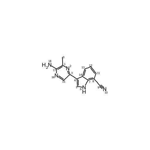 Cc1nc(-c2c[nH]c3c(C#N)cccc23)cnc1N